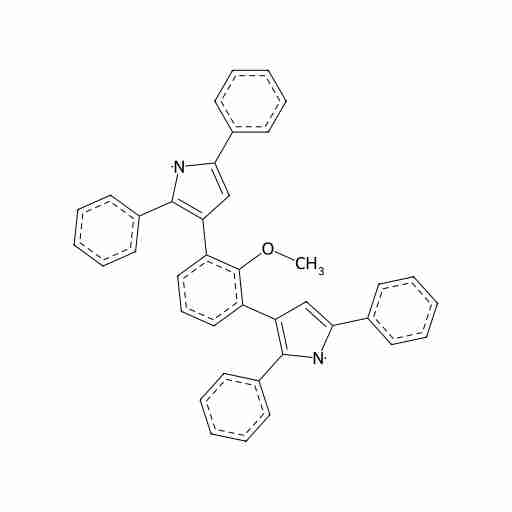 COc1c(C2=C(c3ccccc3)[N]C(c3ccccc3)=C2)cccc1C1=C(c2ccccc2)[N]C(c2ccccc2)=C1